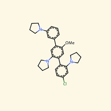 COc1cc(-c2ccc(Cl)cc2N2CCCC2)c(N2CCCC2)cc1-c1cccc(N2CCCC2)c1